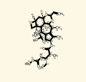 C=CC1O[C@H]2C[C@H]3OC[C@@]3(C)[C@H]3[C@H](C)[C@]4(C(C)(C)O)C[C@H](OC(=O)[C@H](O)[C@H](CC(C)C)NC(=O)OC(C)(C)C)C(C)=C4[C@H](C)[C@H](O1)[C@]23C